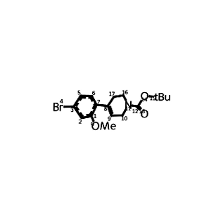 COc1cc(Br)ccc1C1=CCN(C(=O)OC(C)(C)C)CC1